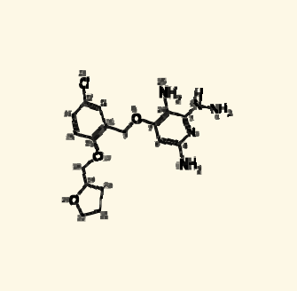 NNc1nc(N)cc(OCc2cc(Cl)ccc2OCC2CCCO2)c1N